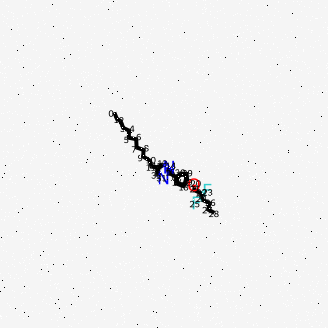 CCCCCCCCCCCCc1cnc(-c2ccc(OCC(F)C(F)CCC)cc2)nc1